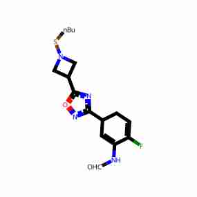 CCCCSN1CC(c2nc(C3C=C(NC=O)C(F)=CC3)no2)C1